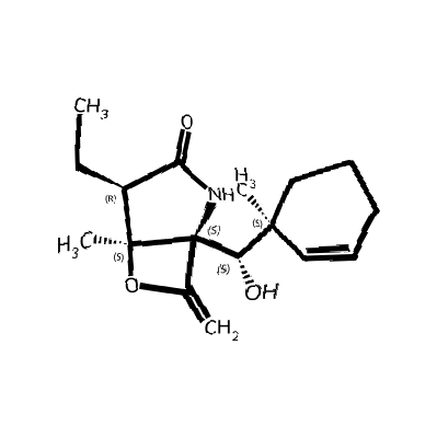 C=C1O[C@@]2(C)[C@@H](CC)C(=O)N[C@@]12[C@@H](O)[C@]1(C)C=CCCC1